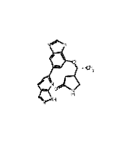 C[C@@H](Oc1cc(-c2ccc3cn[nH]c3n2)cc2ncsc12)C1CNC(=O)C1